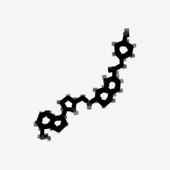 Cc1ncnc2c1ccn2C1CCC(COc2ccc3ccc(NCc4ccc(Cl)cc4)nc3c2)O1